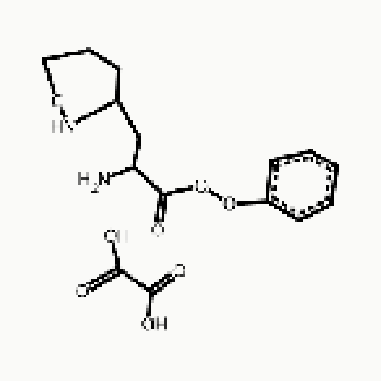 NC(CC1CCCCN1)C(=O)OOc1ccccc1.O=C(O)C(=O)O